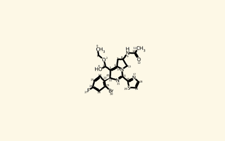 CCOC(O)C1=C2CC(NC(C)=O)CN2C(c2nccs2)=N[C@H]1c1ccc(F)cc1Br